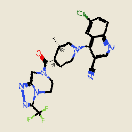 C[C@@H]1CN(c2c(C#N)cnc3ccc(Cl)cc23)CC[C@@H]1C(=O)N1CCn2c(nnc2C(F)(F)F)C1